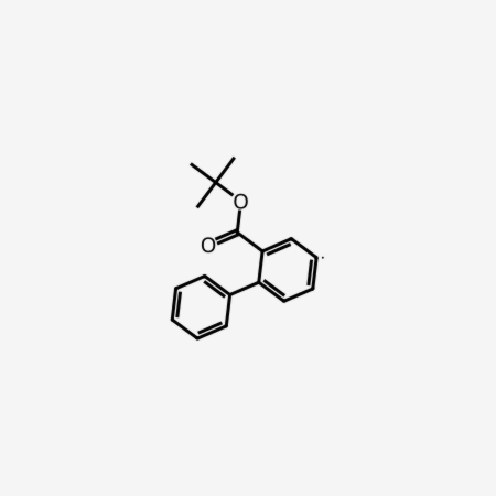 CC(C)(C)OC(=O)c1c[c]ccc1-c1ccccc1